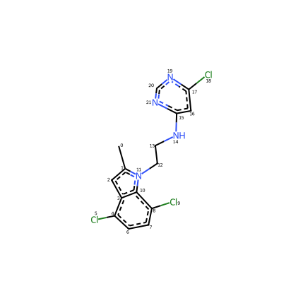 Cc1cc2c(Cl)ccc(Cl)c2n1CCNc1cc(Cl)ncn1